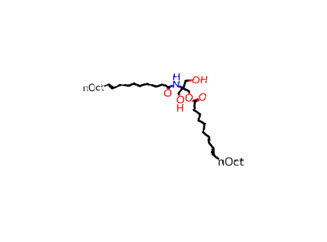 CCCCCCCC/C=C/CCCCCCCC(=O)NC(CO)(CO)COC(=O)CCCCCCC/C=C/CCCCCCCC